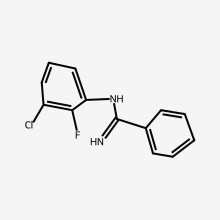 N=C(Nc1cccc(Cl)c1F)c1ccccc1